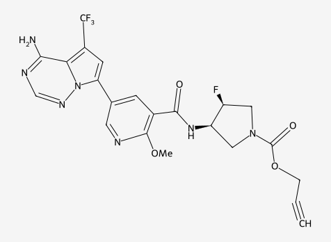 C#CCOC(=O)N1C[C@H](F)[C@H](NC(=O)c2cc(-c3cc(C(F)(F)F)c4c(N)ncnn34)cnc2OC)C1